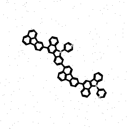 c1cncc(-n2c3ccccc3c3cc(-c4ccc5c(c4)-c4ccc(-c6ccc7c8cc(-c9ccc%10c(c9)-c9cccc%11cccc-%10c9%11)c9ccccc9c8n(-c8ccncc8)c7c6)c6cccc-5c46)c4ccccc4c32)c1